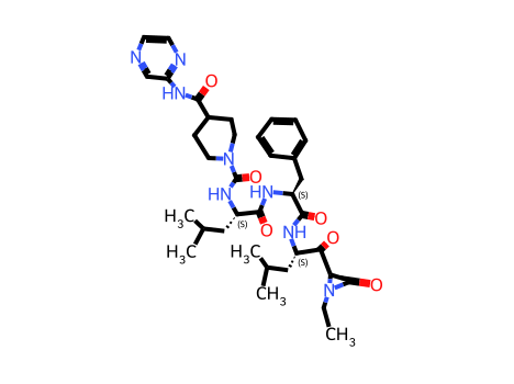 CCN1C(=O)C1C(=O)[C@H](CC(C)C)NC(=O)[C@H](Cc1ccccc1)NC(=O)[C@H](CC(C)C)NC(=O)N1CCC(C(=O)Nc2cnccn2)CC1